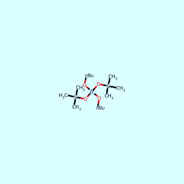 CCCC[O][Zr]([O]CCCC)([O][Si](C)(C)C)[O][Si](C)(C)C